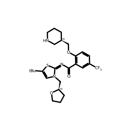 CC(C)(C)c1cn(C[C@H]2CCCO2)c(=NC(=O)c2cc(C(F)(F)F)ccc2OC[C@@H]2CCCNC2)s1